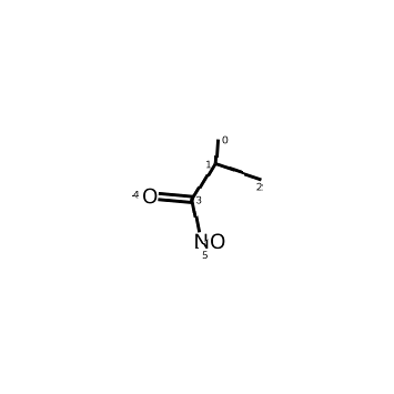 CC(C)C(=O)N=O